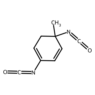 CC1(N=C=O)C=CC(N=C=O)=CC1